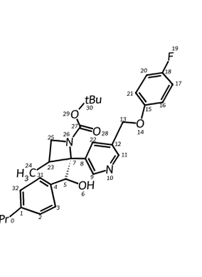 CC(C)c1ccc(C(O)[C@]2(c3cncc(COc4ccc(F)cc4)c3)C(C)CN2C(=O)OC(C)(C)C)cc1